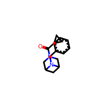 O=C(C1CC1)N1CC2CC(C1)N2Cc1ccccc1